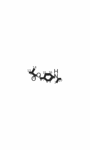 CC(C)NC1=CCC(COC(=O)C(C)C)C=C1